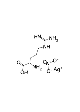 N=C(N)NCCCC(N)C(=O)O.O=[N+]([O-])[O-].[Ag+]